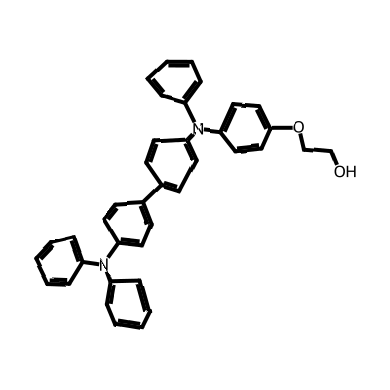 OCCOc1ccc(N(c2ccccc2)c2ccc(-c3ccc(N(c4ccccc4)c4ccccc4)cc3)cc2)cc1